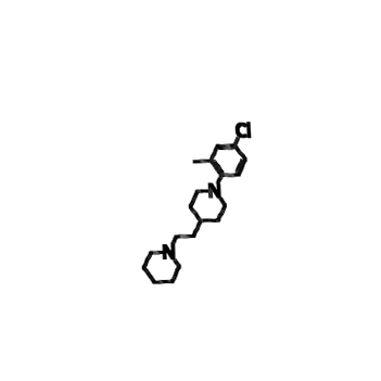 Cc1cc(Cl)ccc1N1CCC(CCN2CCCCC2)CC1